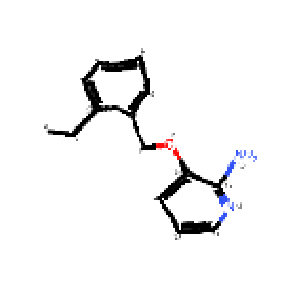 CCc1ccccc1COc1cccnc1N